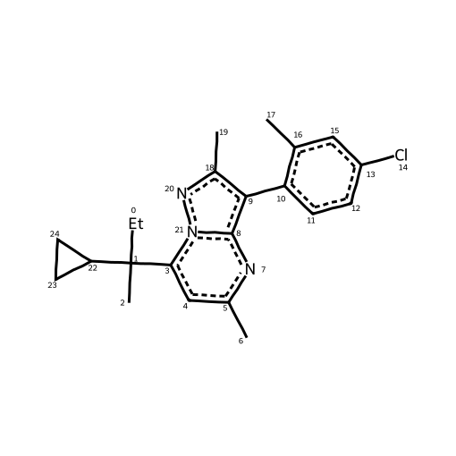 [CH2]CC(C)(c1cc(C)nc2c(-c3ccc(Cl)cc3C)c(C)nn12)C1CC1